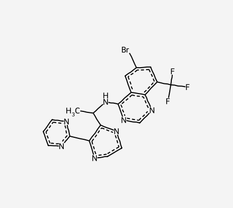 CC(Nc1ncnc2c(C(F)(F)F)cc(Br)cc12)c1nccnc1-c1ncccn1